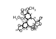 COc1cc2c(c(OC)c1OC)-c1cc3c(cc1[C@H](O)[C@H]1COC(=O)C1C2)OCO3